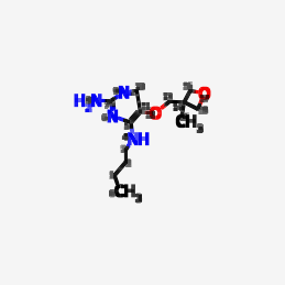 CCCCNc1nc(N)ncc1OCC1(C)COC1